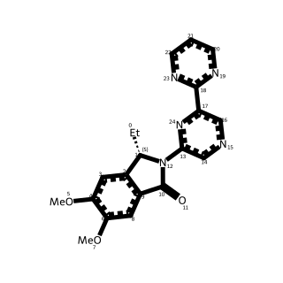 CC[C@H]1c2cc(OC)c(OC)cc2C(=O)N1c1cncc(-c2ncccn2)n1